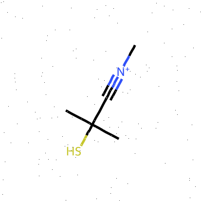 C[N+]#CC(C)(C)S